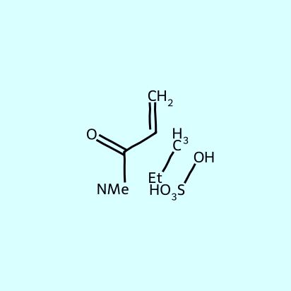 C=CC(=O)NC.CCC.O=S(=O)(O)O